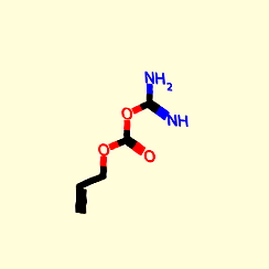 C=CCOC(=O)OC(=N)N